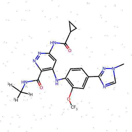 [2H]C([2H])([2H])NC(=O)c1nnc(NC(=O)C2CC2)cc1Nc1ccc(-c2ncn(C)n2)cc1OC(F)(F)F